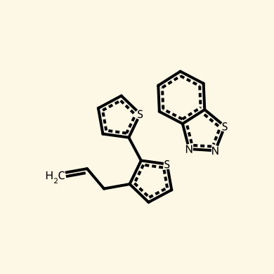 C=CCc1ccsc1-c1cccs1.c1ccc2snnc2c1